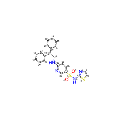 O=S(=O)(Nc1nccs1)c1ccc(NCC(c2ccccc2)c2ccccc2)nc1